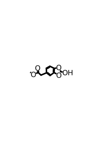 COC(=O)Cc1ccc2c(c1)OC(O)O2